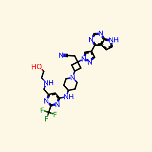 N#CCC1(n2cc(-c3ncnc4[nH]ccc34)cn2)CC(N2CCC(Nc3cc(CNCCO)nc(C(F)(F)F)n3)CC2)C1